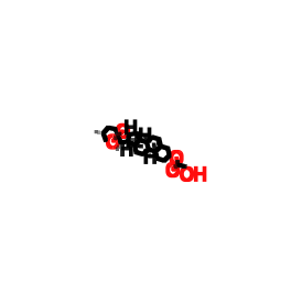 C[C@@H]1CC[C@@]2(OC1)O[C@H]1C[C@H]3[C@@H]4CC=C5C[C@@H](OC(=O)CO)CC[C@]5(C)[C@H]4CC[C@]3(C)[C@H]1[C@@H]2C